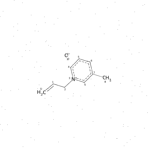 C=CC[n+]1cccc(C)c1.[Cl-]